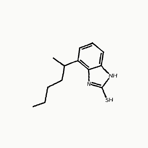 CCCCC(C)c1cccc2[nH]c(S)nc12